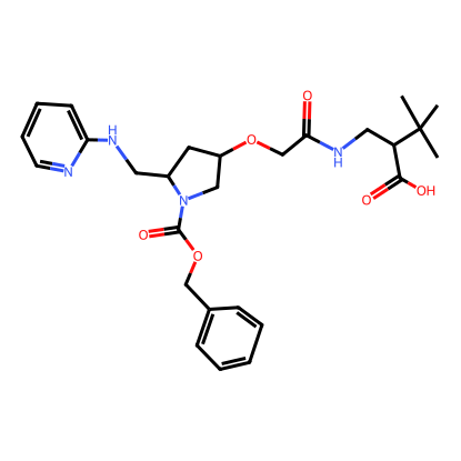 CC(C)(C)C(CNC(=O)COC1CC(CNc2ccccn2)N(C(=O)OCc2ccccc2)C1)C(=O)O